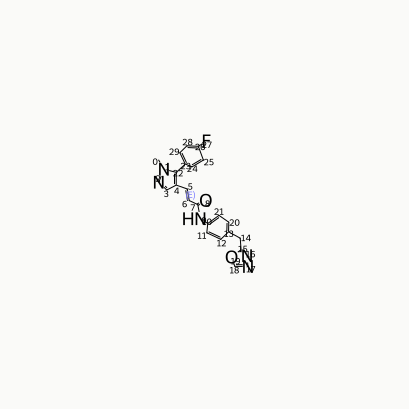 Cn1ncc(/C=C/C(=O)Nc2ccc(Cc3nnco3)cc2)c1-c1ccc(F)cc1